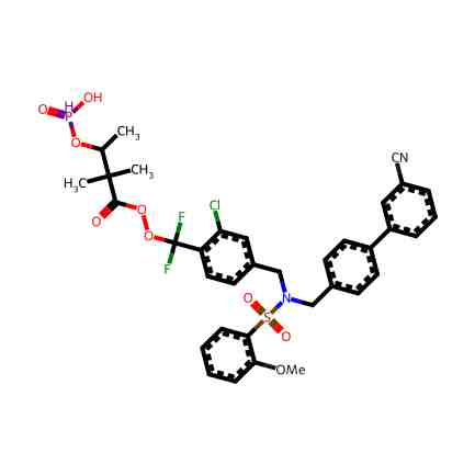 COc1ccccc1S(=O)(=O)N(Cc1ccc(-c2cccc(C#N)c2)cc1)Cc1ccc(C(F)(F)OOC(=O)C(C)(C)C(C)O[PH](=O)O)c(Cl)c1